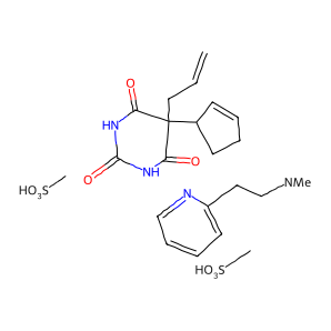 C=CCC1(C2C=CCC2)C(=O)NC(=O)NC1=O.CNCCc1ccccn1.CS(=O)(=O)O.CS(=O)(=O)O